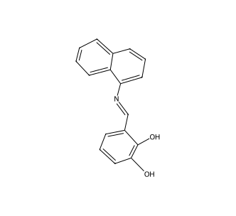 Oc1cccc(/C=N/c2cccc3ccccc23)c1O